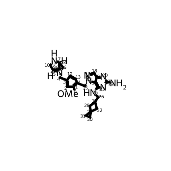 COc1cc(CN2C[C@@H]3C[C@H]2CN3)ccc1Cn1ncc2nc(N)nc(NCC3CC4(CC4)C3)c21